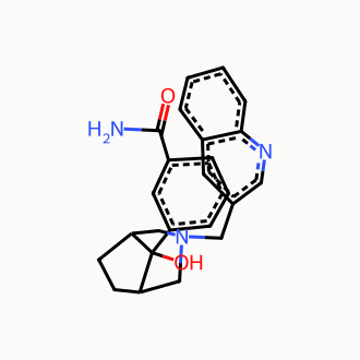 NC(=O)c1cccc(C2(O)C3CCC2CN(Cc2cnc4ccccc4c2)C3)c1